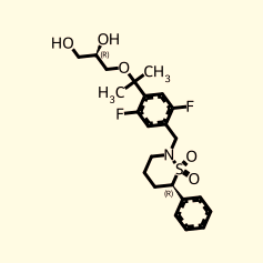 CC(C)(OC[C@H](O)CO)c1cc(F)c(CN2CCC[C@H](c3ccccc3)S2(=O)=O)cc1F